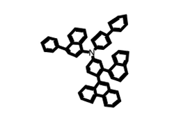 c1ccc(-c2ccc(N(c3ccc(-c4cc5ccccc5c5ccccc45)c(-c4cccc5ccccc45)c3)c3ccc(-c4ccccc4)c4ccccc34)cc2)cc1